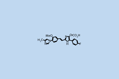 COc1cc(/C=C/c2nc(OC(=O)O)c(-c3ccc(F)cc3)[nH]2)ccc1-n1cnc(C)c1